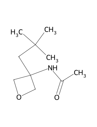 CC(=O)NC1(CC(C)(C)C)COC1